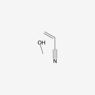 C=CC#N.CO